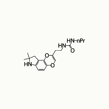 CCCNC(=O)NCCC1=COc2ccc3c(c2O1)CC(C)(C)N3